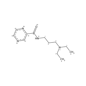 CCN(CC)CCCNC(=O)c1cnccn1